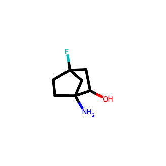 NC12CCC(F)(CC1O)C2